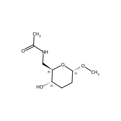 CO[C@@H]1CC[C@H](O)[C@@H](CNC(C)=O)O1